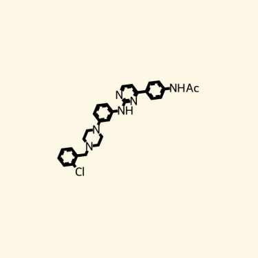 CC(=O)Nc1ccc(-c2ccnc(Nc3cccc(N4CCN(Cc5ccccc5Cl)CC4)c3)n2)cc1